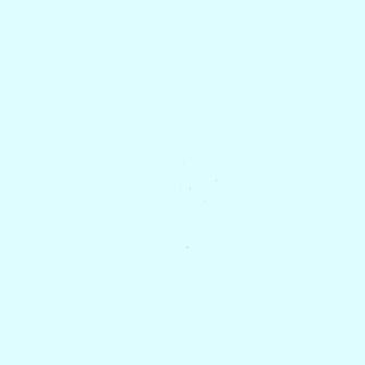 CCC(C)c1ccc(OS(=O)(=O)c2ccc(C)cc2)cc1